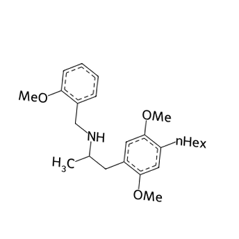 CCCCCCc1cc(OC)c(CC(C)NCc2ccccc2OC)cc1OC